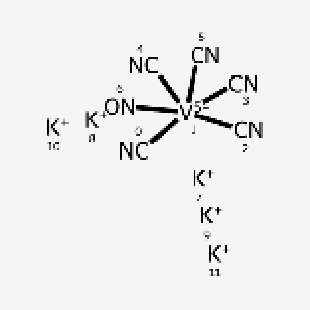 N#[C][V-5]([C]#N)([C]#N)([C]#N)([C]#N)[N]=O.[K+].[K+].[K+].[K+].[K+]